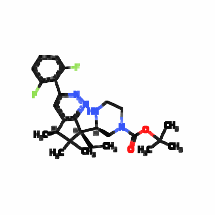 CC[C@]1([C@@H]2CN(C(=O)OC(C)(C)C)CCN2)c2nnc(-c3c(F)cccc3F)cc2[C@H](C)C1(C)C